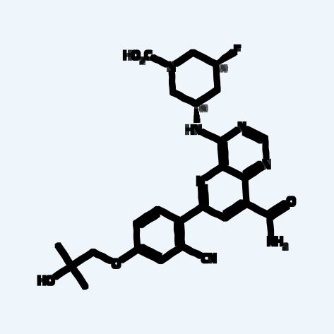 CC(C)(O)COc1ccc(-c2cc(C(N)=O)c3ncnc(N[C@H]4C[C@H](F)CN(C(=O)O)C4)c3n2)c(C#N)c1